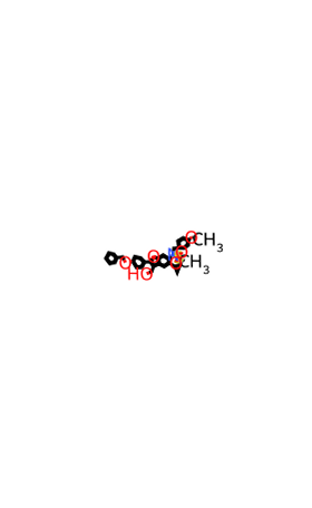 COc1ccc(CN(c2cc3oc(-c4ccc(OCc5ccccc5)cc4)c(CO)c3cc2C2CC2)S(C)(=O)=O)cc1